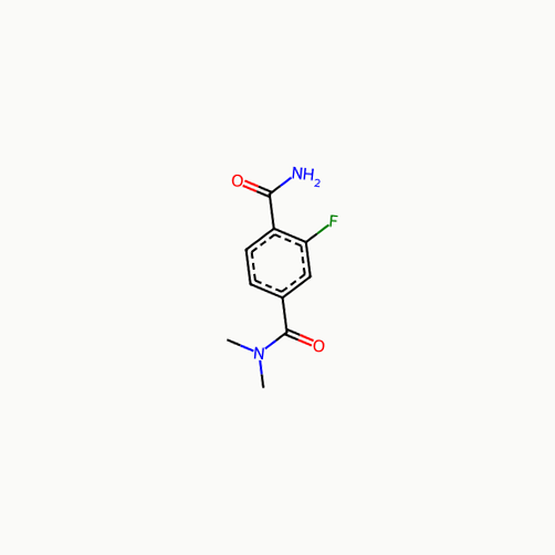 CN(C)C(=O)c1ccc(C(N)=O)c(F)c1